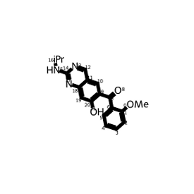 COc1ccccc1C(=O)c1cc2cnc(NC(C)C)nc2cc1O